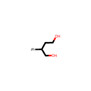 CC(C)C(CO)CCO